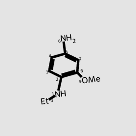 CCNc1ccc(N)cc1OC